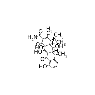 CC1=C(C(N)=O)C(=O)[C@@]2(O)C(O)=C3C(=O)c4c(O)cccc4[C@H](C)[C@H]3[C@H](O)[C@H]2[C@@H]1N(C)C